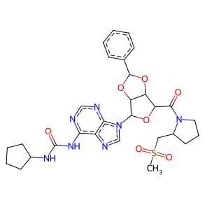 CS(=O)(=O)CC1CCCN1C(=O)C1OC(n2cnc3c(NC(=O)NC4CCCC4)ncnc32)C2OC(c3ccccc3)OC12